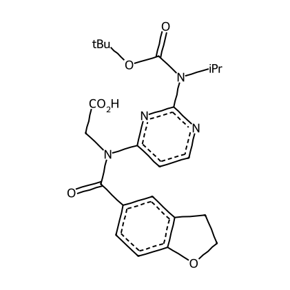 CC(C)N(C(=O)OC(C)(C)C)c1nccc(N(CC(=O)O)C(=O)c2ccc3c(c2)CCO3)n1